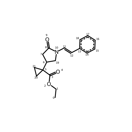 CCOC(=O)C1(C2CC(=O)N(C=Cc3ccccc3)C2)CC1